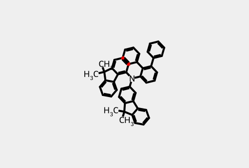 CC1(C)c2ccccc2-c2cc(N(c3cccc(-c4ccccc4)c3-c3ccccc3)c3cccc4c3-c3ccccc3C4(C)C)ccc21